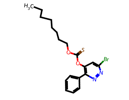 CCCCCCCCOC(=S)Oc1cc(Br)nnc1-c1ccccc1